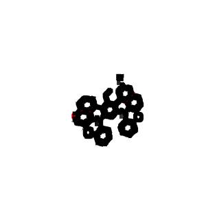 CCc1c(-c2cccc(F)c2)c(N2c3ccccc3Oc3ccccc32)cc(N2c3ccccc3Oc3ccccc32)c1-c1cccc(F)c1